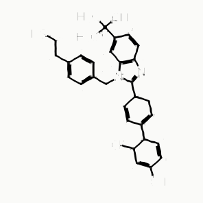 CC1=CC(Cl)C(C2=CCC(c3nc4ccc(C(C)(C)C)cc4n3Cc3ccc(CCS)cc3)C=C2)C=C1